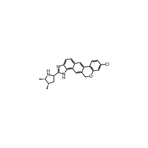 C[C@@H]1CC(c2nc3ccc4cc5c(cc4c3[nH]2)COc2cc(Cl)ccc2-5)N[C@@H]1C